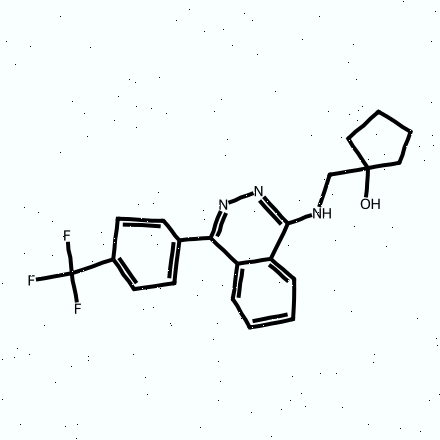 OC1(CNc2nnc(-c3ccc(C(F)(F)F)cc3)c3ccccc23)CCCC1